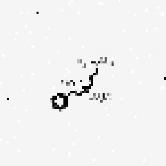 CCOC(=O)C(CCCN(C)C)(CCc1ccccc1)C(=O)OCC